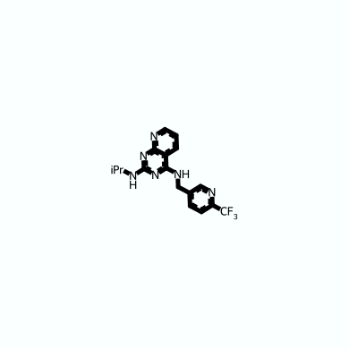 CC(C)Nc1nc(NCc2ccc(C(F)(F)F)nc2)c2cccnc2n1